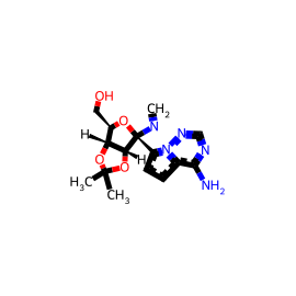 C=N[C@@]1(c2ccc3c(N)ncnn23)O[C@H](CO)[C@H]2OC(C)(C)O[C@H]21